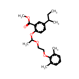 CCC(C)c1ccc(OC(C)OCCOc2c(C)cccc2C)c(C(=O)OC)c1